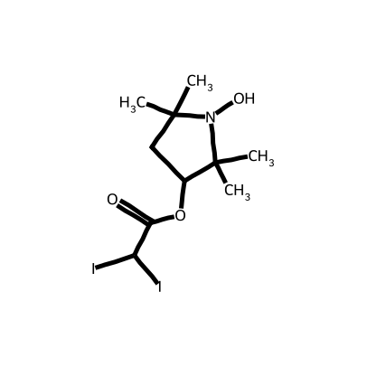 CC1(C)CC(OC(=O)C(I)I)C(C)(C)N1O